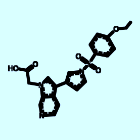 CCOc1ccc(S(=O)(=O)n2ccc(-c3cn(CC(=O)O)c4cnccc34)c2)cc1